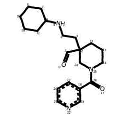 O=CC1(CCNC2CCCCC2)CCCN(C(=O)c2cccnc2)C1